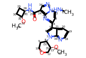 CNc1cc(-c2cn([C@H]3CCOC[C@H]3OC)c3ncccc23)nc2c(C(=O)N[C@@H]3CC[C@H]3OC)cnn12